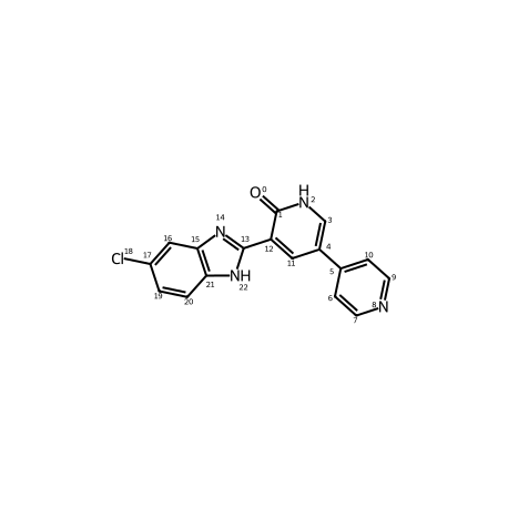 O=c1[nH]cc(-c2ccncc2)cc1-c1nc2cc(Cl)ccc2[nH]1